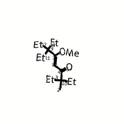 CCC(C)(CC)C(=O)/C=C(\OC)C(CC)(CC)CC